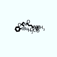 C=S(C)(=O)NC(=O)CCC(=O)N1CC(Oc2ccccc2C(C)(C)C)C1